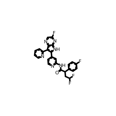 O=C(Nc1cc(-c2[nH]c3nc(F)cnc3c2-c2ccccn2)ccn1)C(CC(F)F)c1ccc(F)cc1